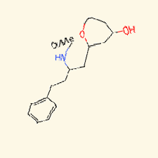 CONC(CCc1ccccc1)CC1CC(O)CCO1